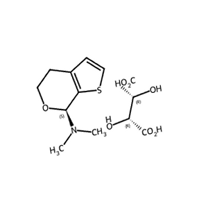 CN(C)[C@H]1OCCc2ccsc21.O=C(O)[C@H](O)[C@@H](O)C(=O)O